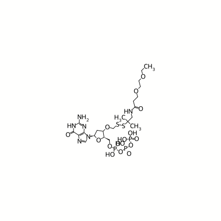 CCOCCOCCC(=O)NCC(C)(C)SSCOC1C[C@H](n2cnc3c(=O)[nH]c(N)nc32)O[C@@H]1COP(=O)(O)OP(=O)(O)OP(=O)(O)O